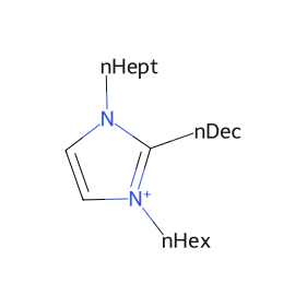 CCCCCCCCCCc1n(CCCCCCC)cc[n+]1CCCCCC